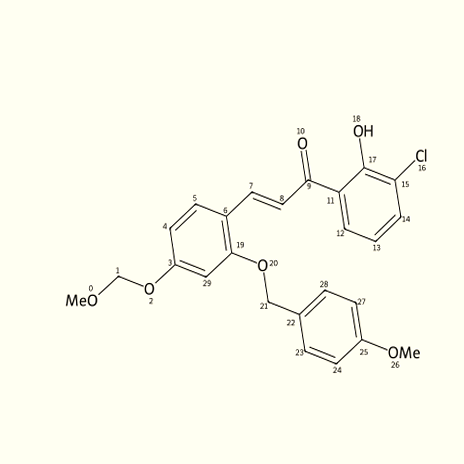 COCOc1ccc(C=CC(=O)c2cccc(Cl)c2O)c(OCc2ccc(OC)cc2)c1